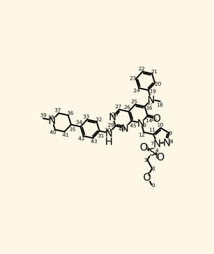 COCCS(=O)(=O)n1nccc1Cn1c(=O)c(N(C)c2ccccc2)cc2cnc(Nc3ccc(C4CCN(C)CC4)cc3)nc21